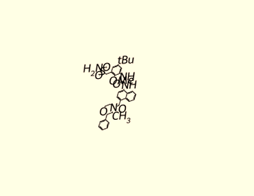 COc1c(CS(N)(=O)=O)cc(C(C)(C)C)cc1NC(=O)Nc1ccc(C(=O)N2CCOC(c3ccccc3)C2C)c2ccccc12